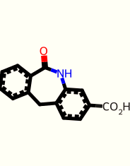 O=C(O)c1ccc2c(c1)NC(=O)c1ccccc1C2